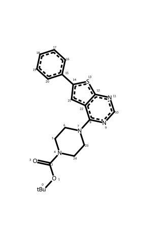 CC(C)(C)OC(=O)N1CCN(c2ncnc3sc(-c4ccccc4)cc23)CC1